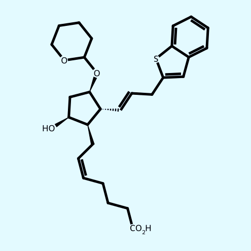 O=C(O)CCC/C=C\C[C@@H]1[C@@H](/C=C/Cc2cc3ccccc3s2)[C@H](OC2CCCCO2)C[C@@H]1O